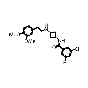 COc1ccc(CCN[C@H]2C[C@H](NC(=O)c3cc(F)cc(Cl)c3)C2)cc1OC